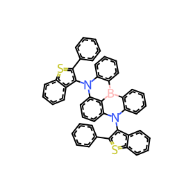 c1ccc(-c2sc3ccccc3c2N2c3ccccc3B3c4ccccc4N(c4c(-c5ccccc5)sc5ccccc45)c4cccc2c43)cc1